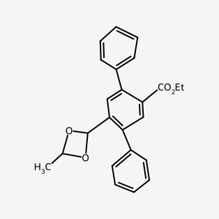 CCOC(=O)c1cc(-c2ccccc2)c(C2OC(C)O2)cc1-c1ccccc1